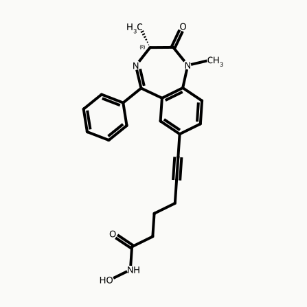 C[C@H]1N=C(c2ccccc2)c2cc(C#CCCCC(=O)NO)ccc2N(C)C1=O